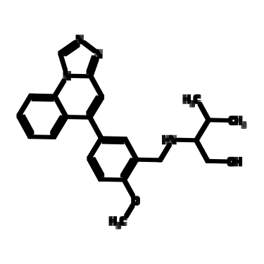 COc1ccc(-c2cc3nncn3c3ccccc23)cc1CNC(CO)C(C)C